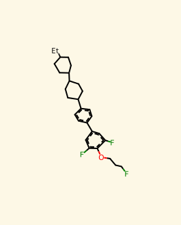 CCC1CCC(C2CCC(c3ccc(-c4cc(F)c(OCCCF)c(F)c4)cc3)CC2)CC1